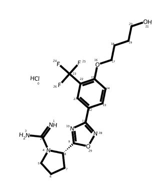 Cl.N=C(N)N1CCC[C@H]1c1nc(-c2ccc(OCCCCO)c(C(F)(F)F)c2)no1